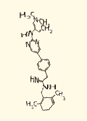 C=C/C(=C\N(C)C)Nc1ncc(-c2ccc(CC(=N)NCC3=C(C)CCC=C3C)cc2)cn1